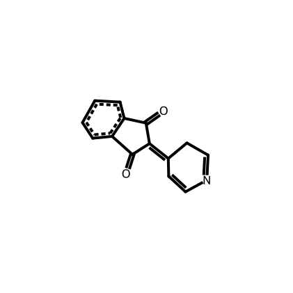 O=C1C(=C2C=CN=CC2)C(=O)c2ccccc21